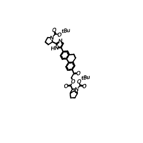 CC(C)(C)OC(=O)N1CCCC1c1ncc(-c2ccc3c(c2)CCc2cc(C(=O)COC(=O)C4C5CCC(C5)N4C(=O)OC(C)(C)C)ccc2-3)[nH]1